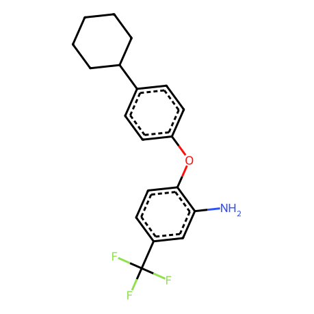 Nc1cc(C(F)(F)F)ccc1Oc1ccc(C2CCCCC2)cc1